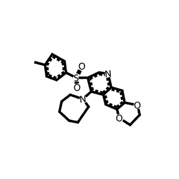 Cc1ccc(S(=O)(=O)c2cnc3cc4c(cc3c2N2CCCCCC2)OCCO4)cc1